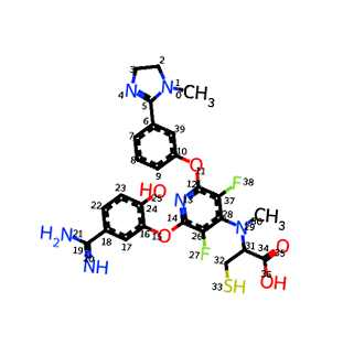 CN1CCN=C1c1cccc(Oc2nc(Oc3cc(C(=N)N)ccc3O)c(F)c(N(C)C(CS)C(=O)O)c2F)c1